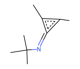 Cc1c(C)c1=NC(C)(C)C